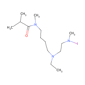 CCN(CCCCN(C)C(=O)C(C)C)CCN(C)I